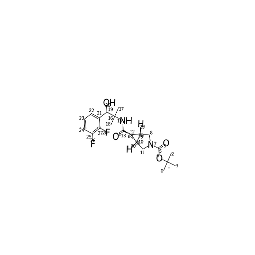 CC(C)(C)OC(=O)N1C[C@@H]2[C@H](C1)[C@H]2C(=O)NC(C)(C)C(O)c1cccc(F)c1F